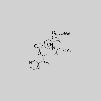 COC(=O)[C@@H]1C[C@H](OC(C)=O)C(=O)[C@H]2[C@@]1(C)CC[C@H]1C(=O)O[C@@H](C(=O)c3cnccn3)C[C@]21C